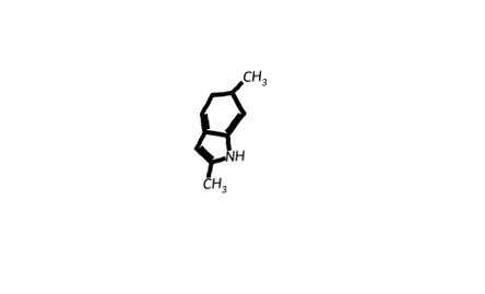 Cc1cc2c([nH]1)=CC(C)CC=2